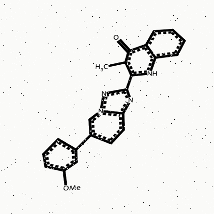 COc1cccc(-c2ccc3nc(-c4[nH]c5ccccc5c(=O)c4C)nn3c2)c1